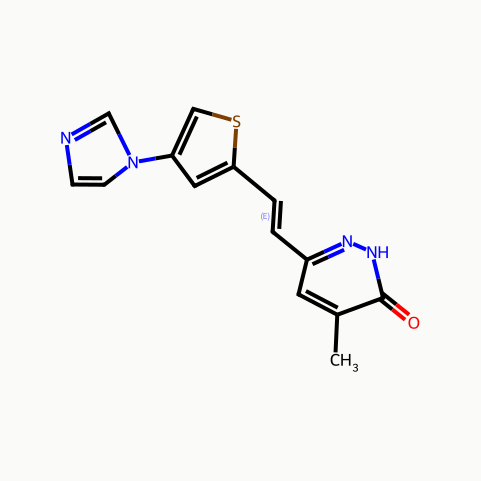 Cc1cc(/C=C/c2cc(-n3ccnc3)cs2)n[nH]c1=O